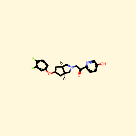 O=C(CN1C[C@H]2CC(Oc3ccc(F)c(F)c3)C[C@H]2C1)c1ccc(O)cn1